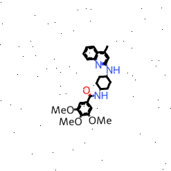 COc1cc(C(=O)N[C@H]2CC[C@@H](Nc3cc(C)c4ccccc4n3)CC2)cc(OC)c1OC